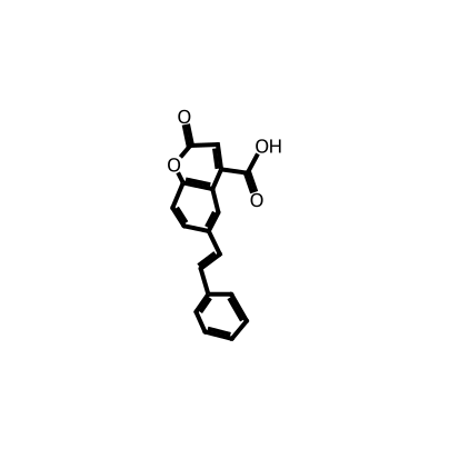 O=C(O)c1cc(=O)oc2ccc(C=Cc3ccccc3)cc12